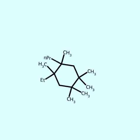 CCCC1(C)CC(C)(C)C(C)(C)CC1(C)CC